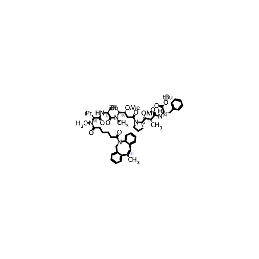 CC[C@H](C)[C@@H]([C@@H](CC(=O)N1CCC[C@H]1[C@H](OC)[C@@H](C)C(=O)N[C@@H](Cc1ccccc1)C(=O)OC(C)(C)C)OC)N(C)C(=O)[C@@H](NC(=O)[C@H](C(C)C)N(C)C(=O)CCCCC(=O)N1Cc2ccccc2/C(C)=C\c2ccccc21)C(C)C